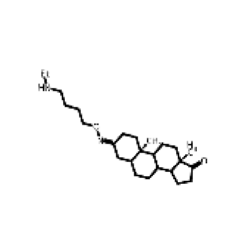 CCNCCCCON=C1CC[C@@]2(C)C(CCC3C2CC[C@]2(C)C(=O)CCC32)C1